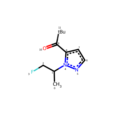 CC(CF)n1nccc1C(=O)C(C)(C)C